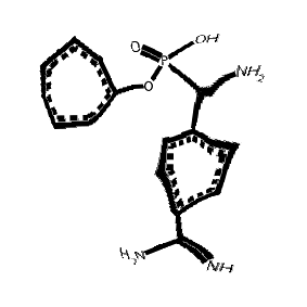 N=C(N)c1ccc(C(N)P(=O)(O)Oc2ccccc2)cc1